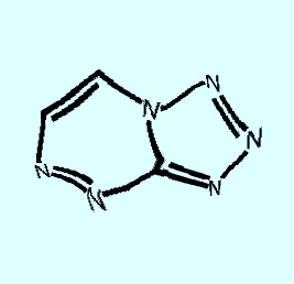 c1cn2nnnc2nn1